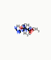 COc1cc(-c2cc(N(C)C)c3c(n2)CN(c2cnn(CC#N)c2)C3=O)cnc1OC